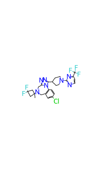 CC1(N2Cc3cc(Cl)ccc3-n3c(nnc3C3CCN(c4nccc(C(F)(F)F)n4)CC3)C2)CC(F)(F)C1